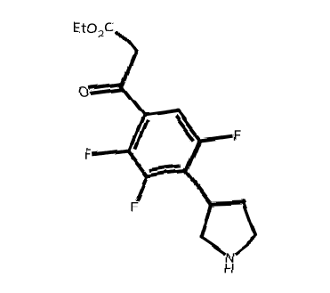 CCOC(=O)CC(=O)c1cc(F)c(C2CCNC2)c(F)c1F